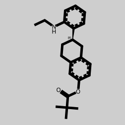 CCNc1ccccc1[C@@H]1CCc2cc(OC(=O)C(C)(C)C)ccc2C1